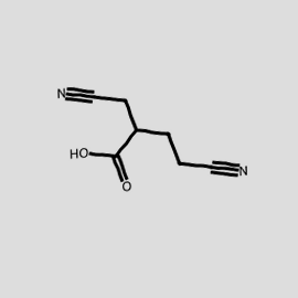 N#CCCC(CC#N)C(=O)O